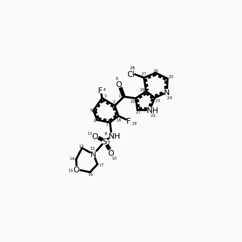 O=C(c1c(F)ccc(NS(=O)(=O)N2CCOCC2)c1F)c1c[nH]c2nccc(Cl)c12